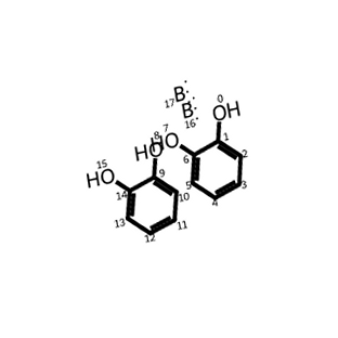 Oc1ccccc1O.Oc1ccccc1O.[B].[B]